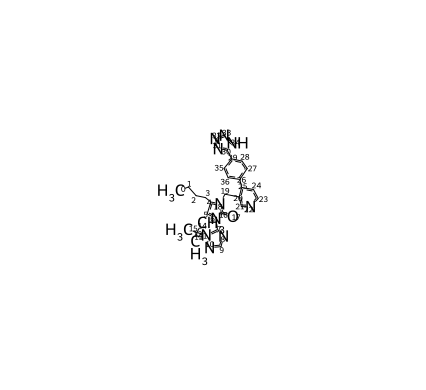 CCCCc1cn(-c2ncnn2C(C)(C)C)c(=O)n1Cc1cnccc1-c1ccc(-c2nnn[nH]2)cc1